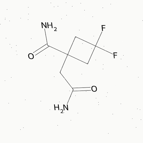 NC(=O)CC1(C(N)=O)CC(F)(F)C1